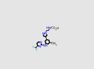 Cc1cc(Nc2nccc(C(F)F)n2)cc(-c2cnn(CCNC(=O)O)c2)c1